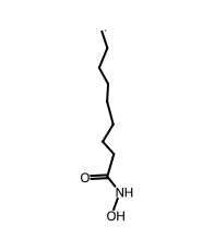 [CH2]CCCCCCCC(=O)NO